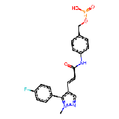 Cn1ncc(C=CC(=O)Nc2ccc(CO[PH](=O)O)cc2)c1-c1ccc(F)cc1